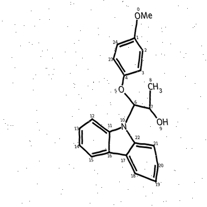 COc1ccc(OC(C(C)O)n2c3ccccc3c3ccccc32)cc1